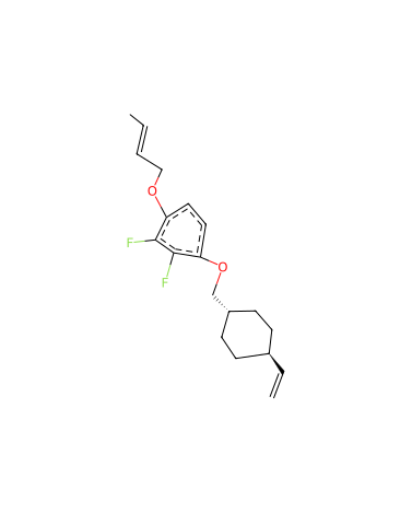 C=C[C@H]1CC[C@H](COc2ccc(OCC=CC)c(F)c2F)CC1